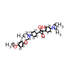 CCN(CC)c1ccc(C2=C(O)C(C3C=CC(N(CC)CCOc4ccc(OC)cc4)C=C3)C2=O)cc1